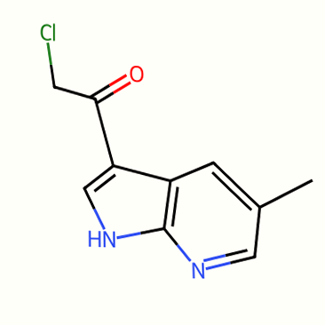 Cc1cnc2[nH]cc(C(=O)CCl)c2c1